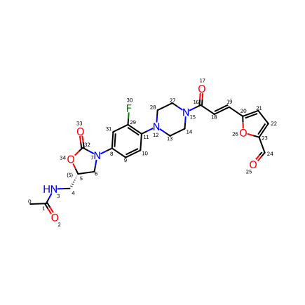 CC(=O)NC[C@H]1CN(c2ccc(N3CCN(C(=O)C=Cc4ccc(C=O)o4)CC3)c(F)c2)C(=O)O1